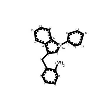 Nc1ccccc1Cc1cn(-c2ccccc2)c2ccccc12